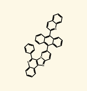 c1ccc(-c2nc3ccccc3c3nc4ccc(-c5c6ccccc6c(-c6ccc7ccccc7n6)c6ccccc56)cn4c23)cc1